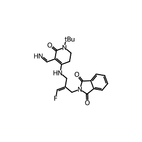 CC(C)(C)N1CCC(NC/C(=C/F)CN2C(=O)c3ccccc3C2=O)=C(C=N)C1=O